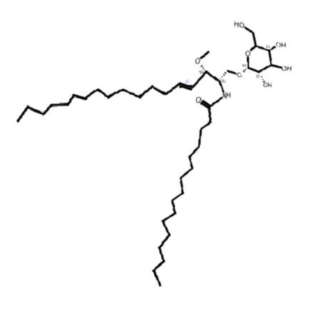 CCCCCCCCCCCCC/C=C/[C@H](OC)[C@H](CO[C@@H]1OC(CO)[C@@H](O)C(O)[C@@H]1O)NC(=O)CCCCCCCCCCCCCCC